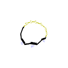 C1=C\CCSSSSSS/C=C/C=C/1